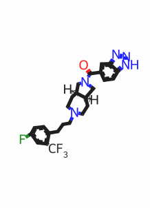 O=C(c1ccc2[nH]nnc2c1)N1C[C@H]2CCN(CCCc3ccc(F)cc3C(F)(F)F)CC[C@H]2C1